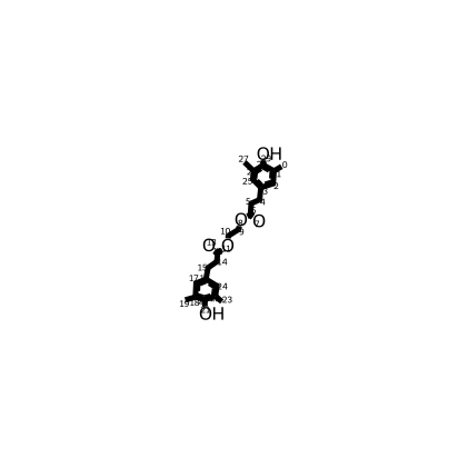 Cc1cc(CCC(=O)OCCOC(=O)CCc2cc(C)c(O)c(C)c2)cc(C)c1O